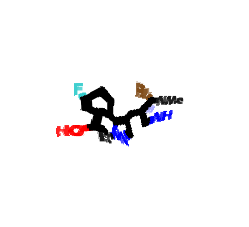 CCn1ncc(C/C(C=N)=C(\Br)NC)c1-c1ccc(F)cc1C(C)O